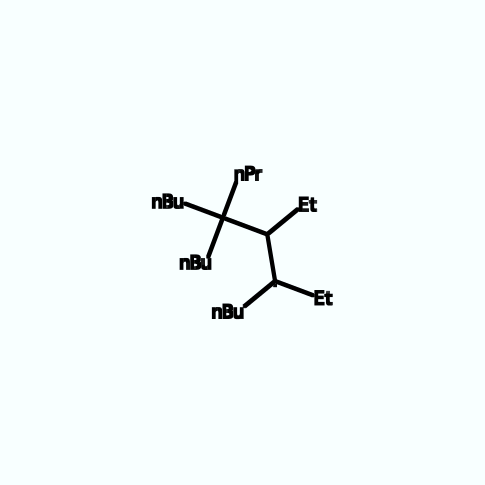 CCCC[C](CC)C(CC)C(CCC)(CCCC)CCCC